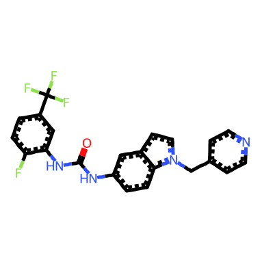 O=C(Nc1ccc2c(ccn2Cc2ccncc2)c1)Nc1cc(C(F)(F)F)ccc1F